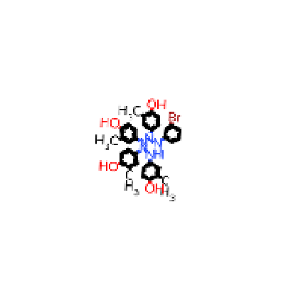 Cc1cc(NN(c2ccc(O)c(C)c2)N(c2ccc(O)c(C)c2)N(Nc2cccc(Br)c2)c2ccc(O)c(C)c2)ccc1O